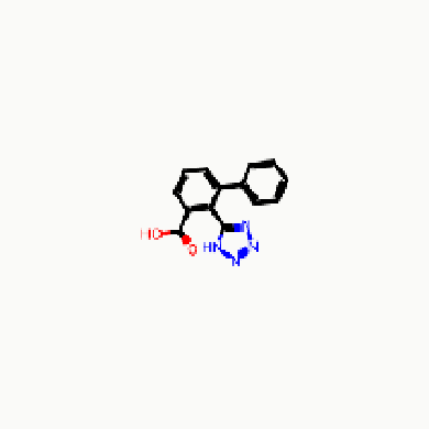 O=C(O)c1cccc(-c2ccccc2)c1-c1nnn[nH]1